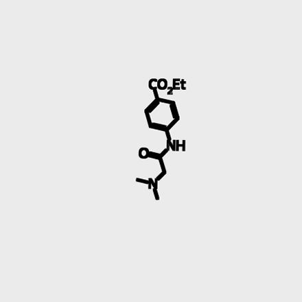 CCOC(=O)c1ccc(NC(=O)CN(C)C)cc1